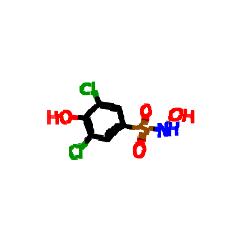 O=S(=O)(NO)c1cc(Cl)c(O)c(Cl)c1